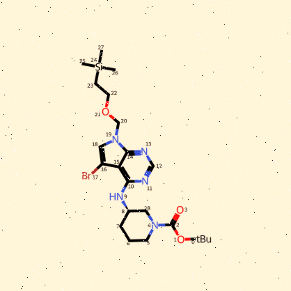 CC(C)(C)OC(=O)N1CCC[C@@H](Nc2ncnc3c2c(Br)cn3COCC[Si](C)(C)C)C1